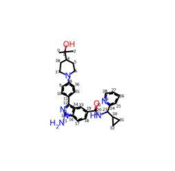 CC(C)(O)C1CCN(c2ccc(-c3nn(N)c4ccc(C(=O)NC(c5ccccn5)C5CC5)cc34)cc2)CC1